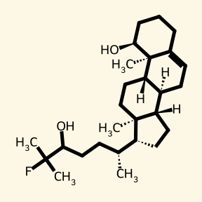 C[C@H](CCC(O)C(C)(C)F)[C@H]1CC[C@H]2[C@@H]3CC=C4CCC[C@H](O)[C@]4(C)[C@H]3CC[C@]12C